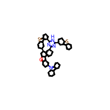 c1ccc(C2=NC(c3cccc4sc5ccc(-c6ccc7c(c6)oc6ccc(-n8c9ccccc9c9ccccc98)cc67)cc5c34)NC(c3ccc4sc5ccccc5c4c3)=N2)cc1